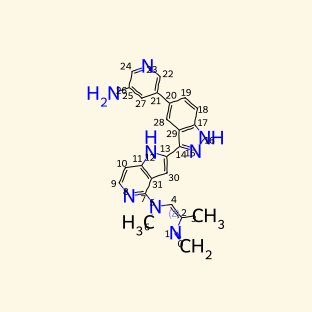 C=N/C(C)=C\N(C)c1nccc2[nH]c(-c3n[nH]c4ccc(-c5cncc(N)c5)cc34)cc12